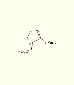 CCCCCC1=CCC[C@@H]1CC(=O)O